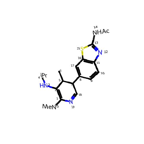 CNC1=C(NC(C)C)C(C)C(c2ccc3nc(NC(C)=O)sc3c2)C=N1